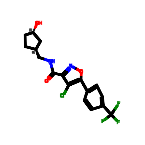 O=C(NC[C@H]1CC[C@H](O)C1)c1noc(-c2ccc(C(F)(F)F)cc2)c1Cl